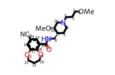 COCCCN1CC[C@@H](CNC(=O)c2cc(C#N)cc3c2OCCCO3)[C@H](OC)C1